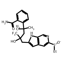 CC[S+]([O-])c1cc2cc(CC(O)(CC(C)(C)c3ccccc3C(N)=O)C(F)(F)F)[nH]c2cn1